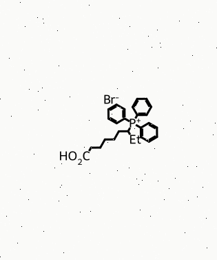 CCC(CCCCCC(=O)O)[P+](c1ccccc1)(c1ccccc1)c1ccccc1.[Br-]